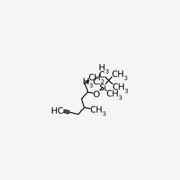 C#CCC(C)CC(C=C)O[Si](C)(C)C(C)(C)C